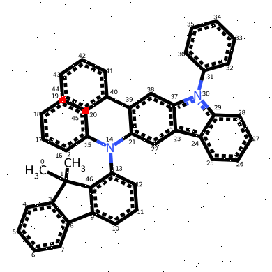 CC1(C)c2ccccc2-c2cccc(N(c3ccccc3)c3cc4c5ccccc5n(-c5ccccc5)c4cc3-c3ccccc3)c21